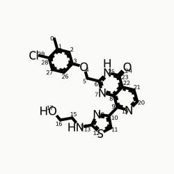 Cc1cc(OCc2nc3c(-c4csc(NCCO)n4)nccc3c(=O)[nH]2)ccc1Cl